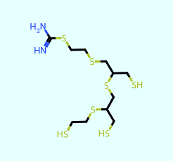 N=C(N)SCCSCC(CS)SCC(CS)SCCS